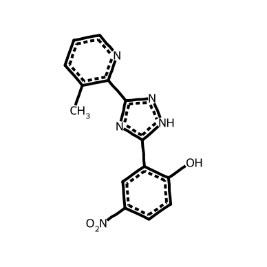 Cc1cccnc1-c1n[nH]c(-c2cc([N+](=O)[O-])ccc2O)n1